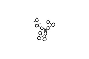 Cc1ccccc1-c1cccc(-c2ccc(N(c3ccc(-c4ccccc4-c4ccccc4)cc3)c3ccc4c(c3)C(c3ccccc3)(c3ccccc3)c3ccccc3-4)cc2)c1C